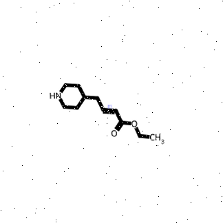 CCOC(=O)/C=C/CC1CCNCC1